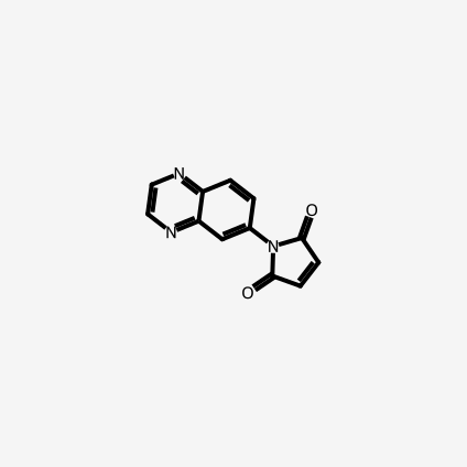 O=C1C=CC(=O)N1c1ccc2nccnc2c1